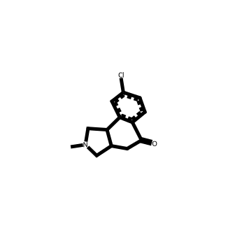 CN1CC2CC(=O)c3ccc(Cl)cc3C2C1